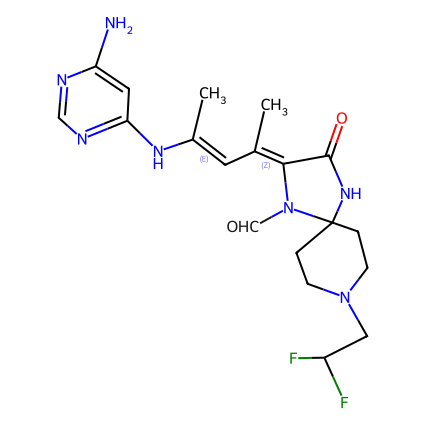 CC(/C=C(\C)Nc1cc(N)ncn1)=C1\C(=O)NC2(CCN(CC(F)F)CC2)N1C=O